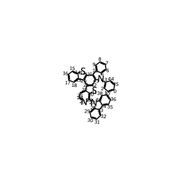 c1ccc(-n2c3ccccc3c3c4sc5ccccc5c4c4c5ccnc(-n6c7ccccc7c7ccccc76)c5sc4c32)cc1